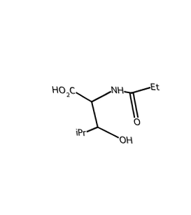 CCC(=O)NC(C(=O)O)C(O)C(C)C